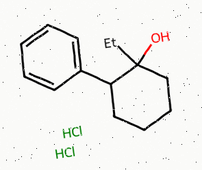 CCC1(O)CCCCC1c1ccccc1.Cl.Cl